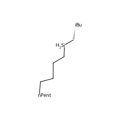 CCCCCCCCC[SiH2]C[C@@H](C)CC